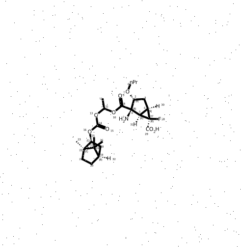 CCCO[C@@H]1C[C@@H]2[C@H]([C@]1(N)C(=O)OC(C)OC(=O)O[C@H]1C[C@H]3CC[C@]1(C)C3(C)C)[C@@]2(F)C(=O)O